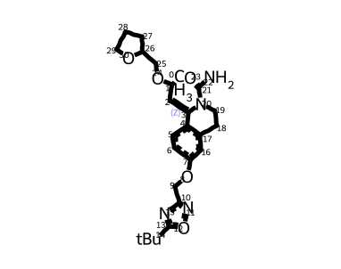 CC(/C=C1/c2ccc(OCc3noc(C(C)(C)C)n3)cc2CCN1C(N)=O)OCC1CCCO1